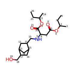 CCC(C)OC(=O)CC(NCC1CC2CC1CC2CO)C(=O)OC(C)CC